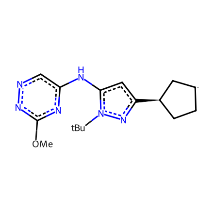 COc1nncc(Nc2cc([C@H]3C[CH]CC3)nn2C(C)(C)C)n1